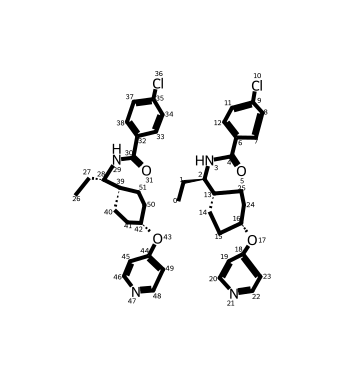 CC[C@@H](NC(=O)c1ccc(Cl)cc1)[C@H]1CC[C@@H](Oc2ccncc2)CC1.CC[C@H](NC(=O)c1ccc(Cl)cc1)[C@H]1CC[C@@H](Oc2ccncc2)CC1